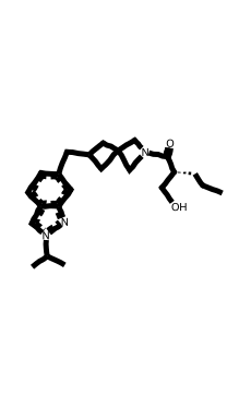 CCC[C@H](CO)C(=O)N1CC2(CC(Cc3ccc4cn(C(C)C)nc4c3)C2)C1